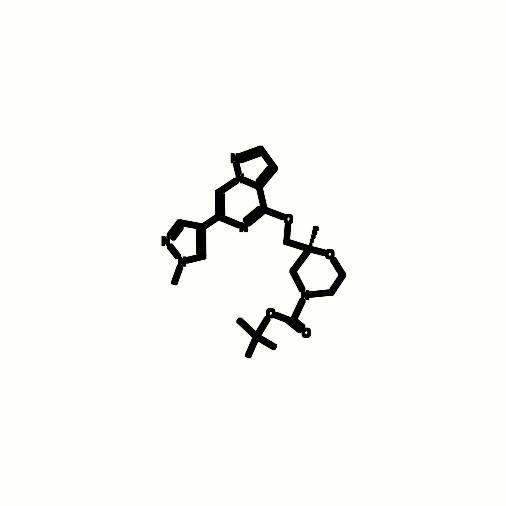 Cn1cc(-c2cn3nccc3c(OC[C@]3(C)CN(C(=O)OC(C)(C)C)CCO3)n2)cn1